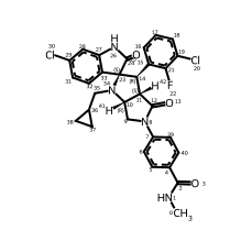 CNC(=O)c1ccc(N2C[C@H]3[C@@H](C2=O)[C@H](c2cccc(Cl)c2F)[C@]2(C(=O)Nc4cc(Cl)ccc42)N3CC2CC2)cc1